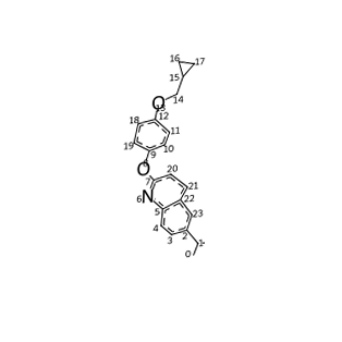 C[CH]c1ccc2nc(Oc3ccc(OCC4CC4)cc3)ccc2c1